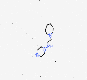 C1CCCN(CCNN2CCNCC2)CC1